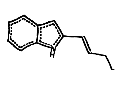 [CH2]CC=Cc1cc2ccccc2[nH]1